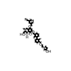 Cc1c(COCCN2CCC(O)C2)cccc1-c1cccc(COc2cc(OCc3cncc(C#N)c3)c(CN(C)C(CO)CO)cc2Cl)c1C